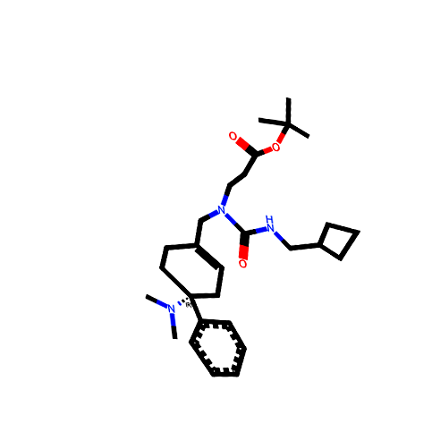 CN(C)[C@@]1(c2ccccc2)CC=C(CN(CCC(=O)OC(C)(C)C)C(=O)NCC2CCC2)CC1